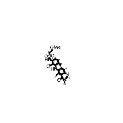 COCCS(=O)(=O)Nc1ccc(F)c(Nc2ccc3ncn(C)c(=O)c3c2C)c1Cl